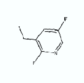 CCc1cc(F)cnc1F